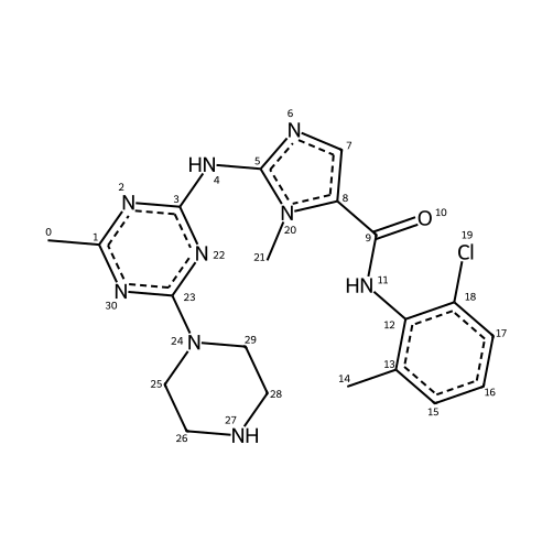 Cc1nc(Nc2ncc(C(=O)Nc3c(C)cccc3Cl)n2C)nc(N2CCNCC2)n1